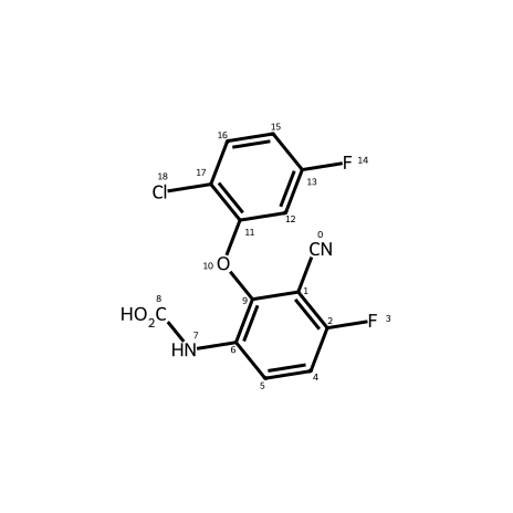 N#Cc1c(F)ccc(NC(=O)O)c1Oc1cc(F)ccc1Cl